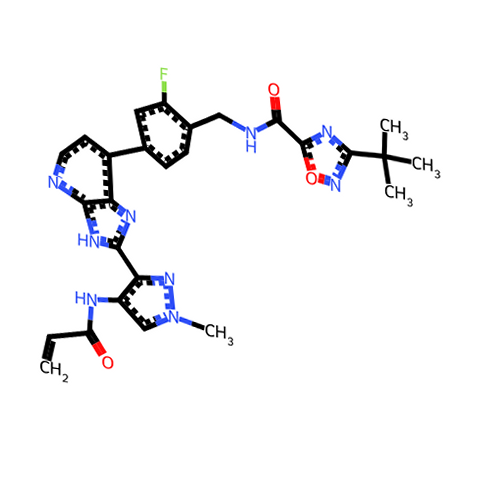 C=CC(=O)Nc1cn(C)nc1-c1nc2c(-c3ccc(CNC(=O)c4nc(C(C)(C)C)no4)c(F)c3)ccnc2[nH]1